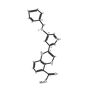 COC(=O)c1cccc2c1OC=C(c1cncc(OCc3ccccc3)c1)O2